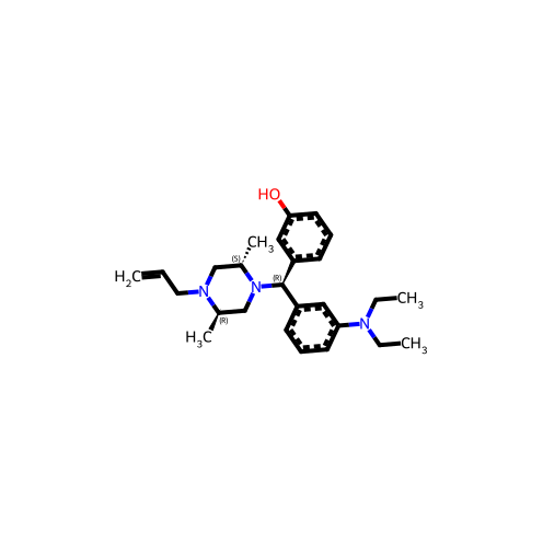 C=CCN1C[C@H](C)N([C@@H](c2cccc(O)c2)c2cccc(N(CC)CC)c2)C[C@H]1C